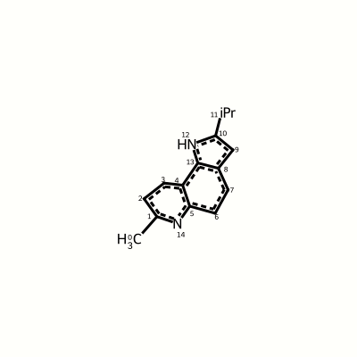 Cc1ccc2c(ccc3cc(C(C)C)[nH]c32)n1